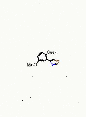 COc1ccc(OC)c(-c2cscn2)c1